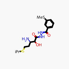 CSc1cccc(C(=O)NNC(=O)C(O)[C@H](N)CCSC(C)C)c1